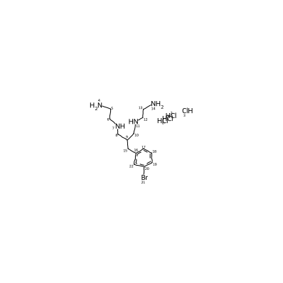 Cl.Cl.Cl.Cl.NCCNCC(CNCCN)Cc1cccc(Br)c1